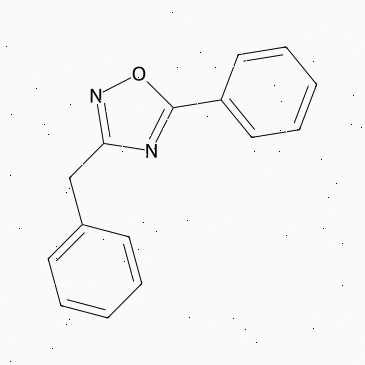 c1ccc(Cc2noc(-c3ccccc3)n2)cc1